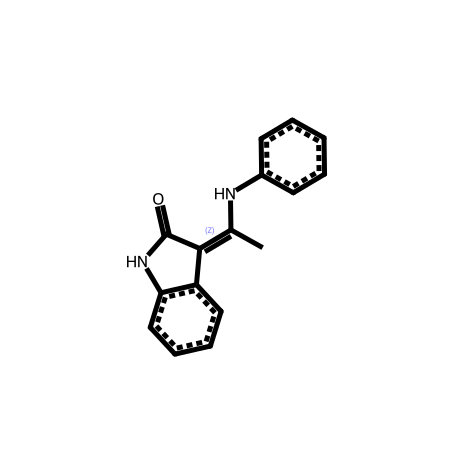 C/C(Nc1ccccc1)=C1/C(=O)Nc2ccccc21